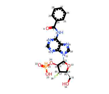 O=C(Nc1ncnc2c1ncn2[C@@H]1O[C@H](CO)[C@@H](F)[C@H]1O[PH](=O)O)c1ccccc1